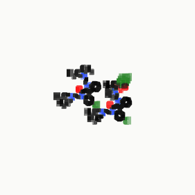 CCN(CC)CCn1c(=O)c2c(c3cc(Cl)ccc31)c1ccccc1n2CCN(CC)CC.CCN(CC)CCn1c(=O)c2c(c3cc(Cl)ccc31)c1ccccc1n2CCN(CC)CC.Cl.Cl.Cl.Cl.O